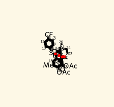 COC1=C[C@@H]2[C@@H]3[C@H](Sc4ccc(C(F)(F)F)cc4)c4ccc(OC(C)=O)c(OC(C)=O)c4[C@]2(CCN3C)CC1=O